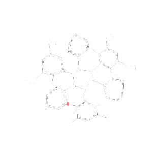 Cc1cc(C)c(C)c(B2N(c3ccccc3)B(c3c(C)c(C)cc(C)c3C)N(c3ccccc3)B(c3c(C)c(C)cc(C)c3C)N2c2ccccc2)c1C